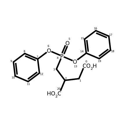 O=C(O)CC(CP(=O)(Oc1ccccc1)Oc1ccccc1)C(=O)O